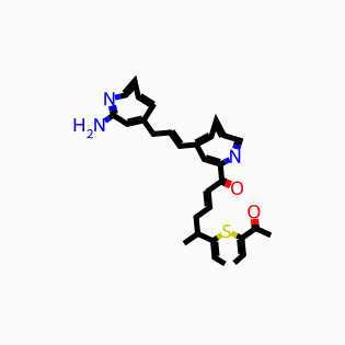 C/C=C(\S/C(=C\C)C(C)C/C=C/C(=O)C1=C/C(/C=C/CC2=C/C(N)=N\C=C\C=C\2)=C/C=C/C=N\1)C(C)=O